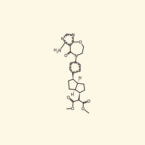 COC(=O)C(C(=O)OC)[C@@H]1CC[C@H]2[C@@H]1CC[C@H]2c1ccc(N2CCOc3ncnc(N)c3C2=O)cc1